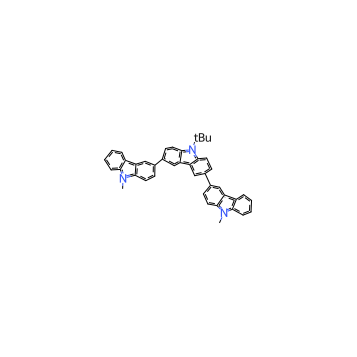 Cn1c2ccccc2c2cc(-c3ccc4c(c3)c3cc(-c5ccc6c(c5)c5ccccc5n6C)ccc3n4C(C)(C)C)ccc21